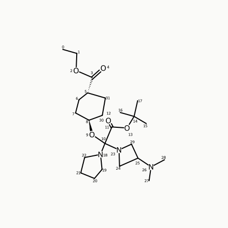 CCOC(=O)[C@H]1CC[C@H](OC(C(=O)OC(C)(C)C)(N2CCCC2)N2CC(N(C)C)C2)CC1